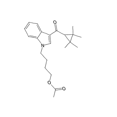 CC(=O)OCCCCn1cc(C(=O)C2C(C)(C)C2(C)C)c2ccccc21